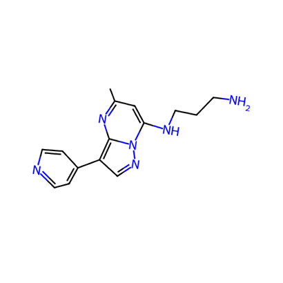 Cc1cc(NCCCN)n2ncc(-c3ccncc3)c2n1